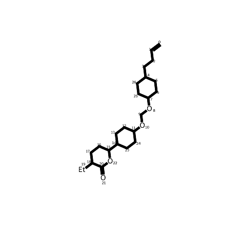 C=CCCC1CCC(OCOC2CCC(C3CCC(CC)C(=O)O3)CC2)CC1